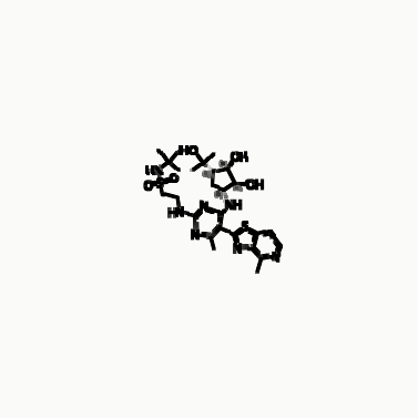 Cc1nc(NCCS(=O)(=O)NC(C)(C)C)nc(N[C@@H]2C[C@H](C(C)(C)O)[C@@H](O)[C@H]2O)c1-c1nc2c(C)nccc2s1